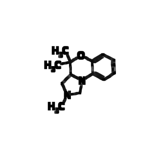 CN1CC2N(C1)c1ccccc1OC2(C)C